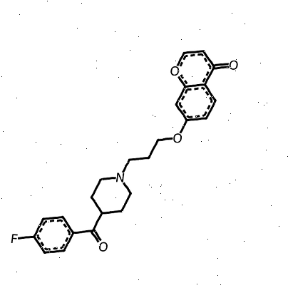 O=C(c1ccc(F)cc1)C1CCN(CCCOc2ccc3c(=O)ccoc3c2)CC1